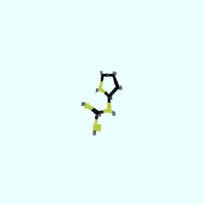 S=C(S)S[C@@H]1CCCS1